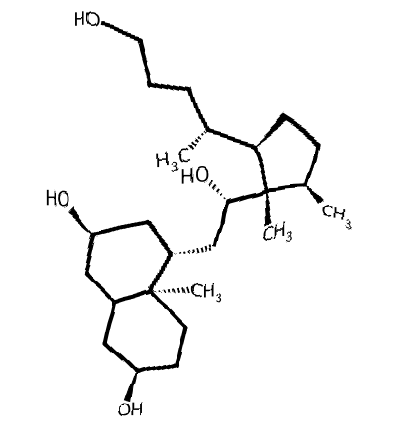 C[C@H](CCCO)[C@H]1CC[C@@H](C)[C@]1(C)[C@@H](O)C[C@H]1C[C@H](O)CC2C[C@H](O)CC[C@@]21C